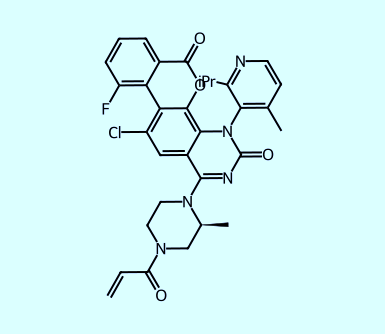 C=CC(=O)N1CCN(c2nc(=O)n(-c3c(C)ccnc3C(C)C)c3c2cc(Cl)c2c3oc(=O)c3cccc(F)c32)[C@@H](C)C1